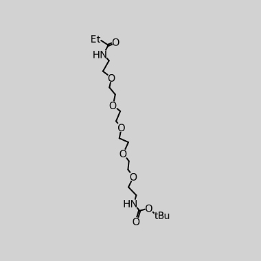 CCC(=O)NCCOCCOCCOCCOCCOCCNC(=O)OC(C)(C)C